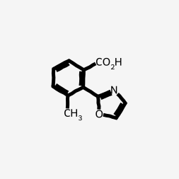 Cc1cccc(C(=O)O)c1-c1ncco1